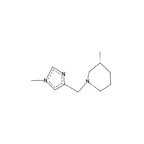 C[C@@H]1CCCN(Cc2cn(C)cn2)C1